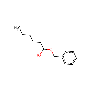 CCCCCC(O)OCc1ccccc1